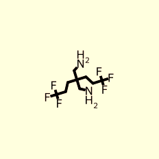 NCC(CN)(CCC(F)(F)F)CCC(F)(F)F